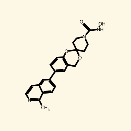 Cc1nccc2cc(-c3ccc4c(c3)COC3(CCN(C(=O)NO)CC3)O4)ccc12